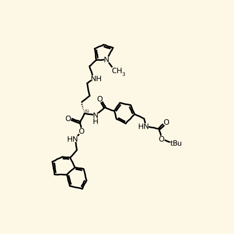 Cn1cccc1CNCCC[C@H](NC(=O)c1ccc(CNC(=O)OC(C)(C)C)cc1)C(=O)ONCc1cccc2ccccc12